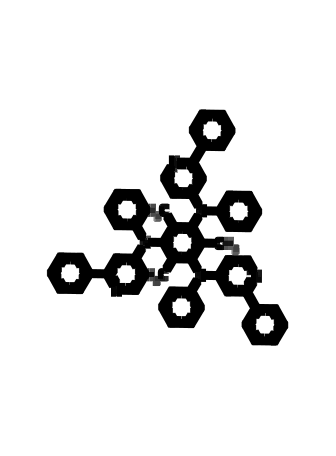 Cc1c(N(c2ccccc2)c2ccnc(-c3ccccc3)c2)c(C)c(N(c2ccccc2)c2ccnc(-c3ccccc3)c2)c(C)c1N(c1ccccc1)c1ccnc(-c2ccccc2)c1